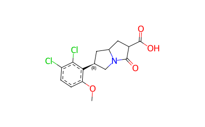 COc1ccc(Cl)c(Cl)c1[C@H]1CC2CC(C(=O)O)C(=O)N2C1